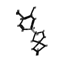 Cc1cc([C@@H]2CCC3(CNC3)C2)ccc1Cl